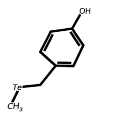 C[Te]Cc1ccc(O)cc1